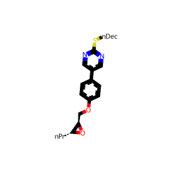 CCCCCCCCCCSc1ncc(-c2ccc(OC[C@H]3O[C@@H]3CCC)cc2)cn1